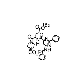 CCOC(=O)N1CCN(C(=O)[C@H](CCC(=O)OC(C)(C)C)NC(=O)c2cc(NCc3ccccc3)nc(-c3ccccc3)n2)CC1